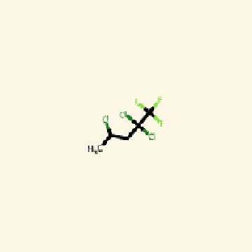 CC(Cl)CC(Cl)(Cl)C(F)(F)F